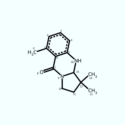 Cc1cccc2c1C(=O)N1CCC(C)(C)C1N2